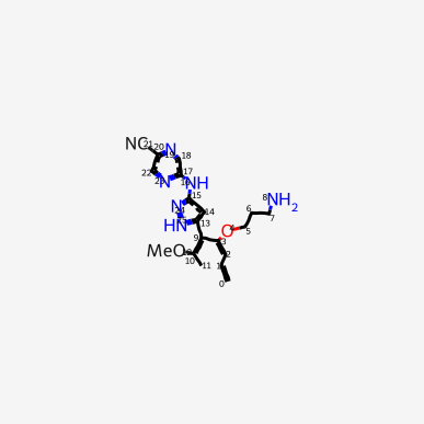 C=C/C=C(OCCCN)\C(=C(/C)OC)c1cc(Nc2cnc(C#N)cn2)n[nH]1